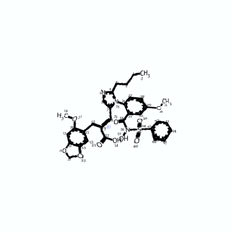 CCCCc1ncc(/C=C(\Cc2cc3c(cc2OC)OCO3)C(=O)O)n1-c1ccc(OC)cc1C(=O)N(O)S(=O)(=O)c1ccccc1